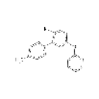 Cc1ccc(-c2cc(Oc3ccccc3)ccc2I)cc1